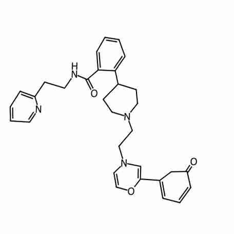 O=C1C=CC=C(C2=CN(CCN3CCC(c4ccccc4C(=O)NCCc4ccccn4)CC3)C=CO2)C1